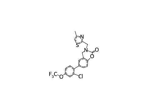 Cc1csc(CN2Cc3cc(-c4ccc(OC(F)(F)F)cc4Cl)ccc3OC2=O)n1